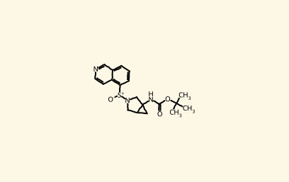 CC(C)(C)OC(=O)NC12CC1CN([S+]([O-])c1cccc3cnccc13)C2